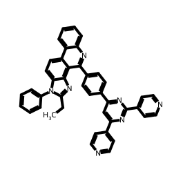 CCc1nc2c3c(-c4ccc(-c5cc(-c6ccncc6)nc(-c6ccncc6)n5)cc4)nc4ccccc4c3ccc2n1-c1ccccc1